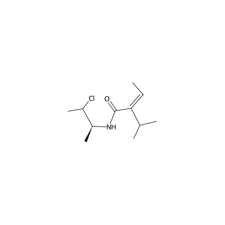 C/C=C(\C(=O)N[C@@H](C)C(C)Cl)C(C)C